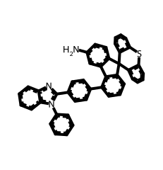 Nc1ccc2c(c1)-c1c(-c3ccc(-c4nc5ccccc5n4-c4ccccc4)cc3)cccc1C21c2ccccc2Sc2ccccc21